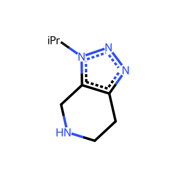 CC(C)n1nnc2c1CNCC2